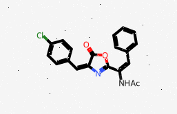 CC(=O)N/C(=C/c1ccccc1)C1=N/C(=C/c2ccc(Cl)cc2)C(=O)O1